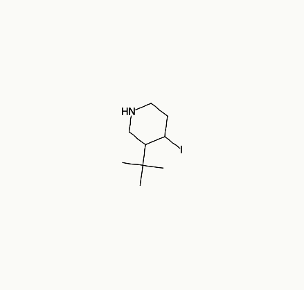 CC(C)(C)C1CNCCC1I